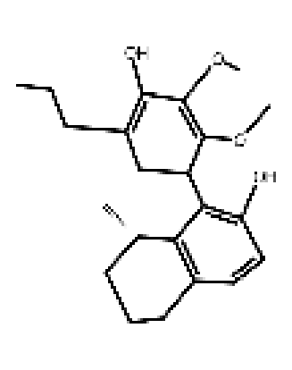 CCCC1=C(O)C(OC)=C(OC)C(c2c(O)ccc3c2[C@@H](C)CCC3)C1